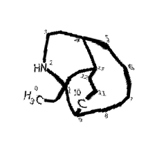 CC12NCC3CCCCC1CCCC32